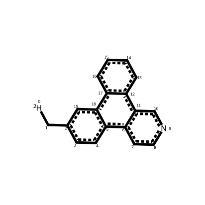 [2H]Cc1ccc2c3ccncc3c3ccccc3c2c1